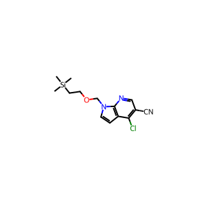 C[Si](C)(C)CCOCn1ccc2c(Cl)c(C#N)cnc21